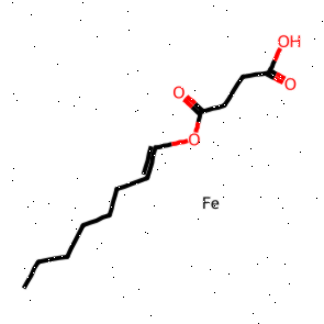 CCCCCCC=COC(=O)CCC(=O)O.[Fe]